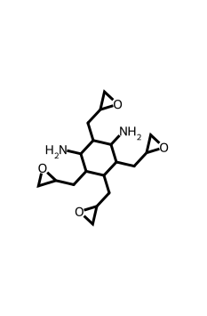 NC1C(CC2CO2)C(N)C(CC2CO2)C(CC2CO2)C1CC1CO1